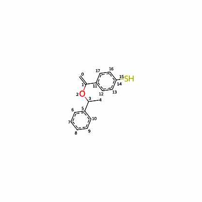 C=C(OC(C)c1ccccc1)c1ccc(S)cc1